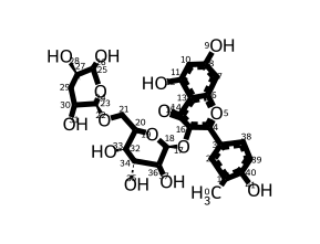 Cc1cc(-c2oc3cc(O)cc(O)c3c(=O)c2O[C@@H]2OC(CO[C@@H]3OC(O)[C@H](O)CC3O)[C@@H](O)[C@@H](O)C2O)ccc1O